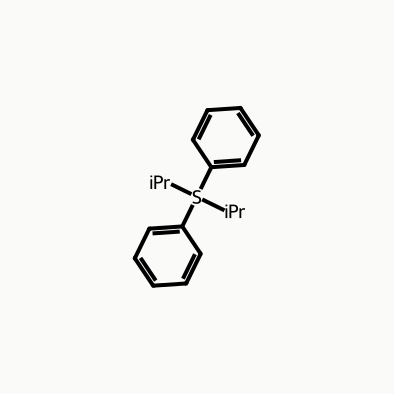 CC(C)S(c1ccccc1)(c1ccccc1)C(C)C